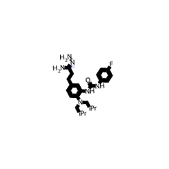 CC(C)CN(CC(C)C)c1ccc(CC/C(N)=N/N)cc1NC(=O)Nc1ccc(F)cc1